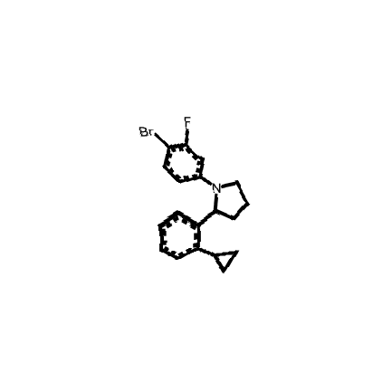 Fc1cc(N2CCCC2c2ccccc2C2CC2)ccc1Br